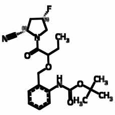 CCC(OCc1ccccc1NC(=O)OC(C)(C)C)C(=O)N1C[C@@H](F)C[C@H]1C#N